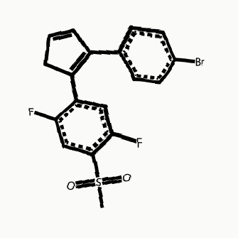 CS(=O)(=O)c1cc(F)c(C2=C(c3ccc(Br)cc3)C=CC2)cc1F